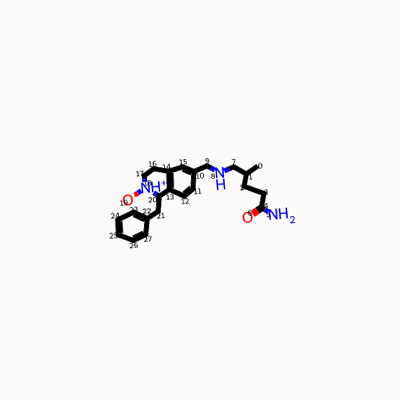 CC(CCC(N)=O)CNCc1ccc2c(c1)CC[NH+]([O-])C2Cc1ccccc1